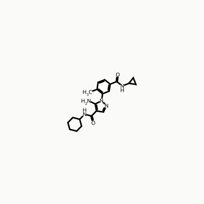 Cc1ccc(C(=O)NC2CC2)cc1-n1ncc(C(=O)NC2CCCCC2)c1N